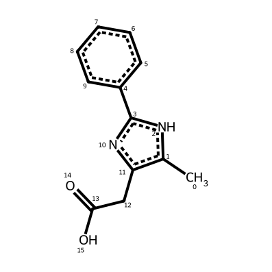 Cc1[nH]c(-c2ccccc2)nc1CC(=O)O